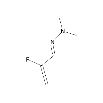 C=C(F)C=NN(C)C